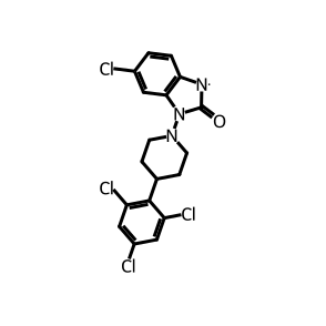 O=C1[N]c2ccc(Cl)cc2N1N1CCC(c2c(Cl)cc(Cl)cc2Cl)CC1